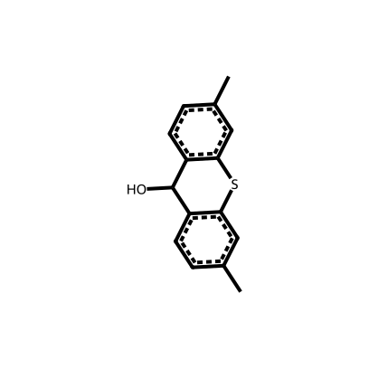 Cc1ccc2c(c1)Sc1cc(C)ccc1C2O